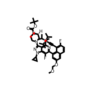 CCc1nc(-c2cc(OCOC)cc3ccc(F)c(C#C[Si](C(C)C)(C(C)C)C(C)C)c23)c(F)c2c1c(N1C[C@H]3CCC1CN3C(=O)OC(C)(C)C)nn2C1CC1